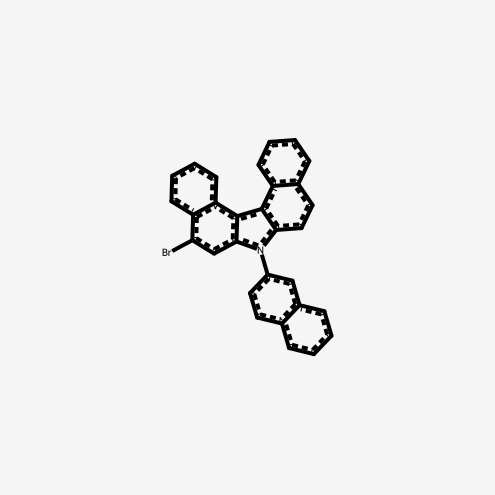 Brc1cc2c(c3ccccc13)c1c3ccccc3ccc1n2-c1ccc2ccccc2c1